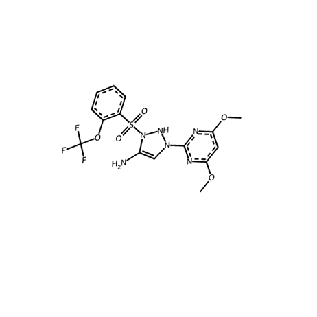 COc1cc(OC)nc(N2C=C(N)N(S(=O)(=O)c3ccccc3OC(F)(F)F)N2)n1